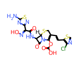 Nc1nc(C(=NO)C(=O)NC2C(=O)N3C(OC(=O)O)=C(C=Cc4scnc4Cl)CS[C@@H]23)ns1